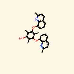 Cc1ccc2cccc(Oc3c(C)c(O)c(C)c(Oc4cccc5ccc(C)nc45)c3C)c2n1